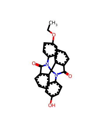 CCOc1ccc(N2C(=O)c3ccccc3C23c2ccccc2C(=O)N3c2ccc(O)cc2)cc1